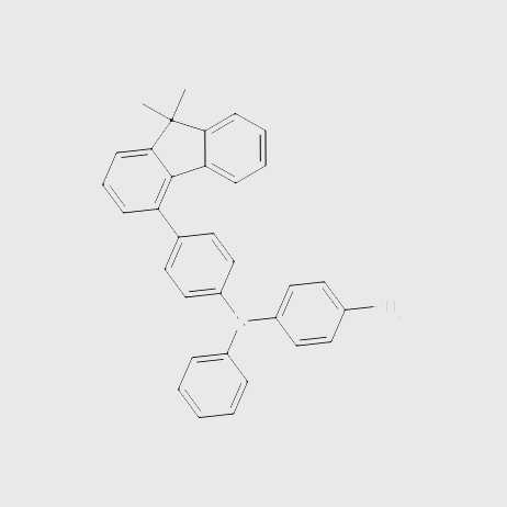 Bc1ccc(N(c2ccccc2)c2ccc(-c3cccc4c3-c3ccccc3C4(C)C)cc2)cc1